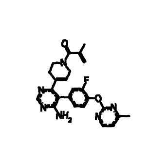 C=C(C)C(=O)N1CC=C(c2ncnc(N)c2-c2ccc(Oc3nccc(C)n3)c(F)c2)CC1